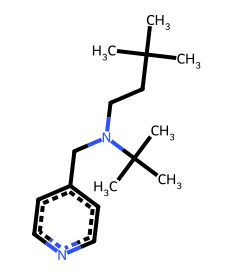 CC(C)(C)CCN(Cc1ccncc1)C(C)(C)C